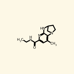 CCNC(=O)c1cc(C)c2c(n1)NC1CCN2C1